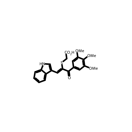 COc1cc(C(=O)C(=Cc2c[nH]c3ccccc23)SCC(=O)O)cc(OC)c1OC